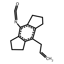 C=CCc1c2c(c(N=C=O)c3c1CCC3)CCC2